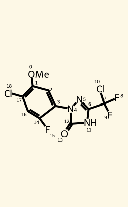 COc1cc(-n2nc(C(F)(F)Cl)[nH]c2=O)c(F)cc1Cl